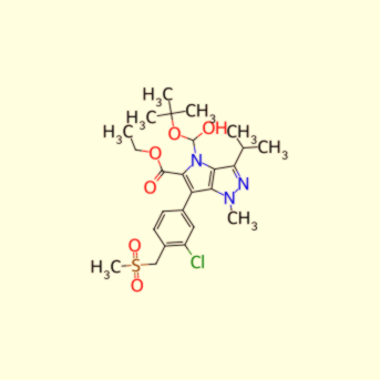 CCOC(=O)c1c(-c2ccc(CS(C)(=O)=O)c(Cl)c2)c2c(c(C(C)C)nn2C)n1C(O)OC(C)(C)C